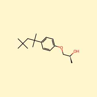 C[C@H](O)COc1ccc(C(C)(C)CC(C)(C)C)cc1